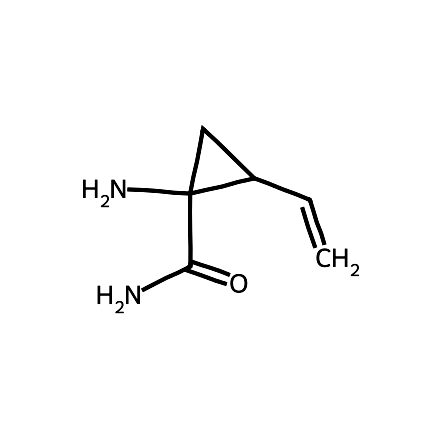 C=CC1CC1(N)C(N)=O